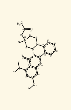 COc1cc(C(C)C)c2c(=O)oc(-c3cccnc3N3CC[N+](C)(CC(N)=O)CC3)nc2c1